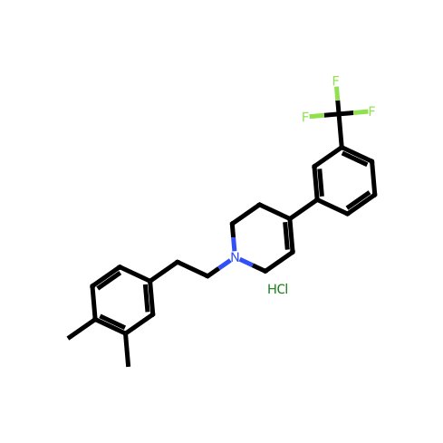 Cc1ccc(CCN2CC=C(c3cccc(C(F)(F)F)c3)CC2)cc1C.Cl